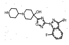 CC(C)c1nn(-c2noc(C3(O)CCN(C4CCNCC4)CC3)n2)c2c(F)cccc12